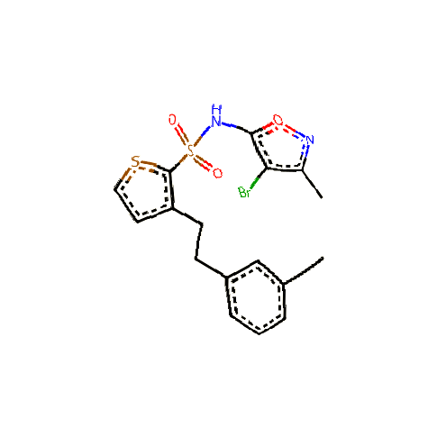 Cc1cccc(CCc2ccsc2S(=O)(=O)Nc2onc(C)c2Br)c1